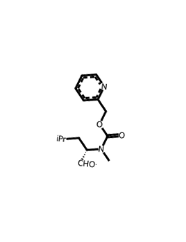 CC(C)C[C@@H]([C]=O)N(C)C(=O)OCc1ccccn1